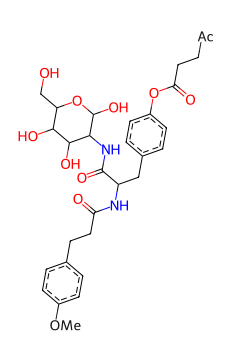 COc1ccc(CCC(=O)NC(Cc2ccc(OC(=O)CCC(C)=O)cc2)C(=O)NC2C(O)OC(CO)C(O)C2O)cc1